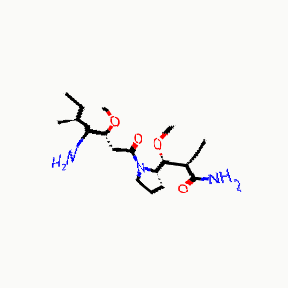 CC[C@H](C)C(N)[C@@H](CC(=O)N1CCC[C@H]1[C@H](OC)[C@@H](C)C(N)=O)OC